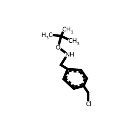 CC(C)(C)ONCc1ccc(CCl)cc1